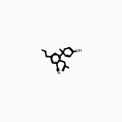 C=C(C)Cc1c(C#N)cc(CCC)cc1C1(C)C=CC(O)=CC1